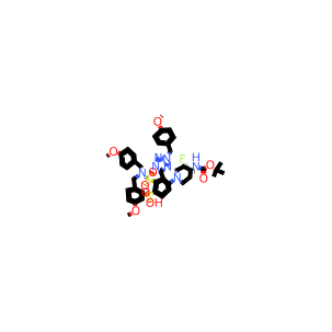 COc1ccc(CN(Cc2ccc(OC)cc2)S(=O)(=O)c2c(S(=O)O)ccc(N3CC[C@@H](NC(=O)OC(C)(C)C)[C@@H](F)C3)c2-c2nnn(Cc3ccc(OC)cc3)n2)cc1